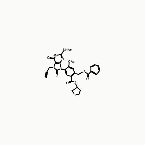 C#CCn1c(=O)n(-c2cc(C(=O)OC3CCOC3)c(COC(=O)c3ccccc3)cc2OC(C)=O)c2nc(NC(C)=O)[nH]c(=O)c21